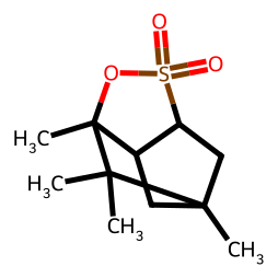 CC12CC3C(C1)S(=O)(=O)OC3(C)C2(C)C